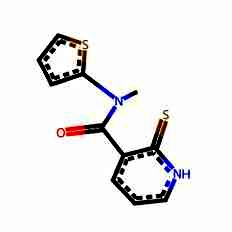 CN(C(=O)c1ccc[nH]c1=S)c1cccs1